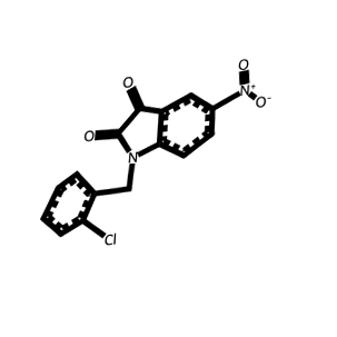 O=C1C(=O)N(Cc2ccccc2Cl)c2ccc([N+](=O)[O-])cc21